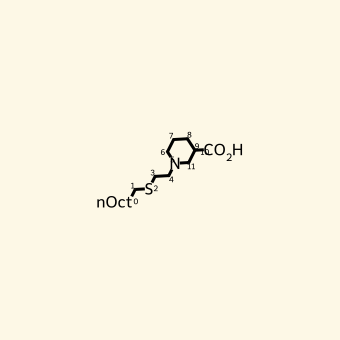 CCCCCCCCCSCCN1CCCC(C(=O)O)C1